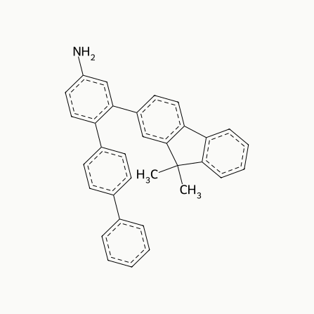 CC1(C)c2ccccc2-c2ccc(-c3cc(N)ccc3-c3ccc(-c4ccccc4)cc3)cc21